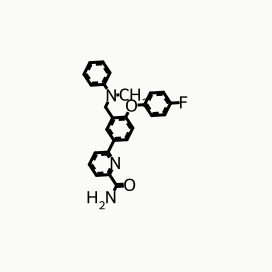 CN(Cc1cc(-c2cccc(C(N)=O)n2)ccc1Oc1ccc(F)cc1)c1ccccc1